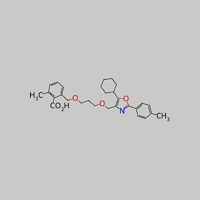 Cc1ccc(-c2nc(COCCCOCc3cccc(C)c3C(=O)O)c(C3CCCCC3)o2)cc1